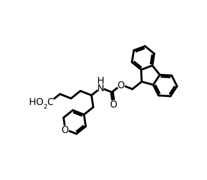 O=C(O)CCCC(CC1=CCOC=C1)NC(=O)OCC1c2ccccc2-c2ccccc21